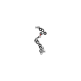 O=C1CCC(N2Cc3cc(N4CCC5(CC4)CN(CCCOc4ccc([C@@H]6c7ccc(O)cc7CCC6c6ccccc6)cc4)CCO5)ccc3C2=O)C(=O)N1